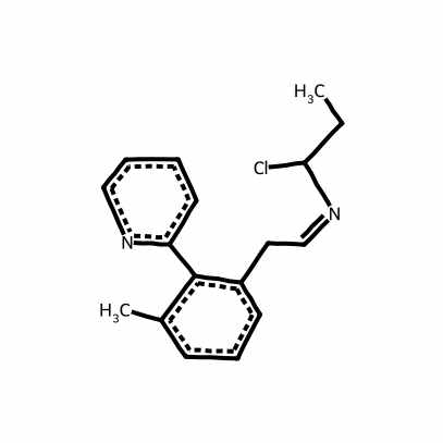 CCC(Cl)/N=C\Cc1cccc(C)c1-c1ccccn1